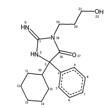 N=C1NC(c2ccccc2)(C2CCCCC2)C(=O)N1CCCO